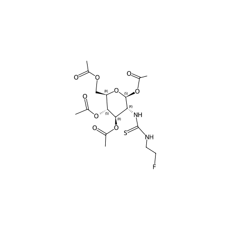 CC(=O)OC[C@H]1O[C@@H](OC(C)=O)[C@H](NC(=S)NCCF)[C@@H](OC(C)=O)[C@@H]1OC(C)=O